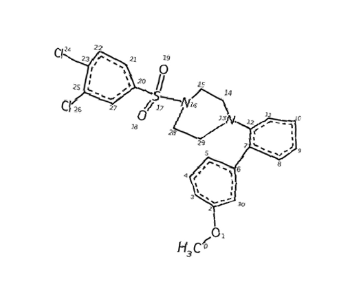 COc1cccc(-c2ccccc2N2CCN(S(=O)(=O)c3ccc(Cl)c(Cl)c3)CC2)c1